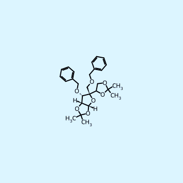 CC1(C)OCC([C@]2(COCc3ccccc3)O[C@@H]3OC(C)(C)O[C@@H]3[C@@H]2OCc2ccccc2)O1